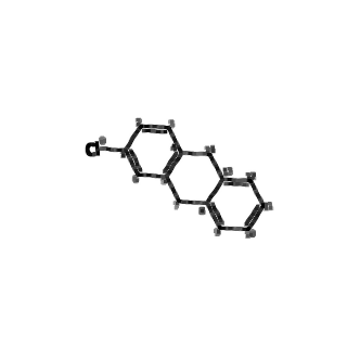 Clc1ccc2c(c1)Cc1ccccc1C2